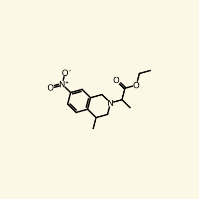 CCOC(=O)C(C)N1Cc2cc([N+](=O)[O-])ccc2C(C)C1